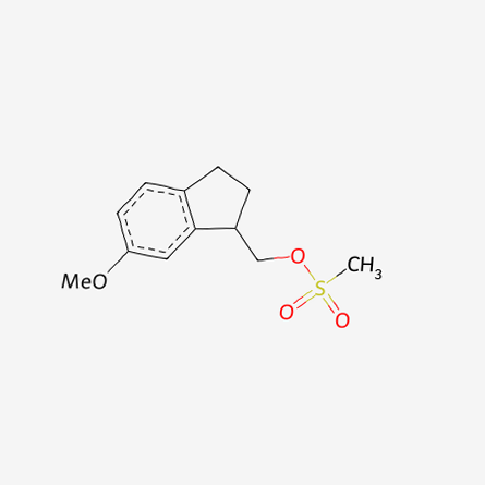 COc1ccc2c(c1)C(COS(C)(=O)=O)CC2